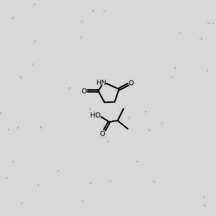 CC(C)C(=O)O.O=C1CCC(=O)N1